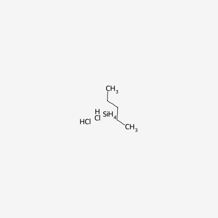 CCCCC.Cl.Cl.[SiH4]